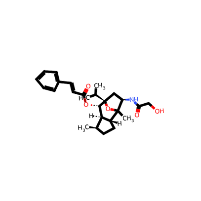 CC(C)[C@@]12C[C@@H](NC(=O)CO)C(C)(O1)[C@@H]1CC[C@@H](C)[C@H]1[C@@H]2OC(=O)/C=C/c1ccccc1